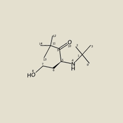 CC(C)(C)N[C@@H](CCO)C(=O)C(C)(C)C